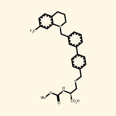 CC(C)(C)OC(=O)N[C@@H](CSCc1ccc(-c2cccc(CN3CCCc4ccc(C(F)(F)F)cc43)c2)cc1)C(=O)O